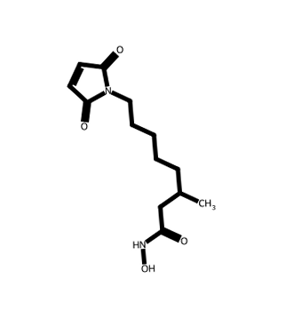 CC(CCCCCN1C(=O)C=CC1=O)CC(=O)NO